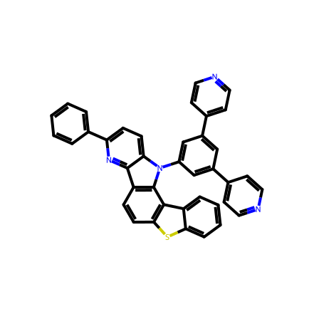 c1ccc(-c2ccc3c(n2)c2ccc4sc5ccccc5c4c2n3-c2cc(-c3ccncc3)cc(-c3ccncc3)c2)cc1